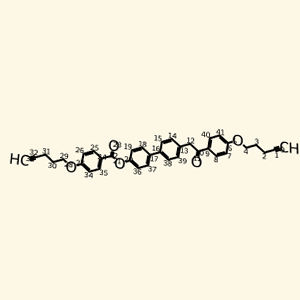 C#CCCCOc1ccc(C(=O)Cc2ccc(-c3ccc(OC(=O)c4ccc(OCCCC#C)cc4)cc3)cc2)cc1